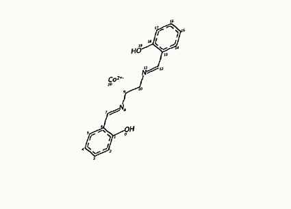 Oc1ccccc1C=NCCN=Cc1ccccc1O.[Co+2]